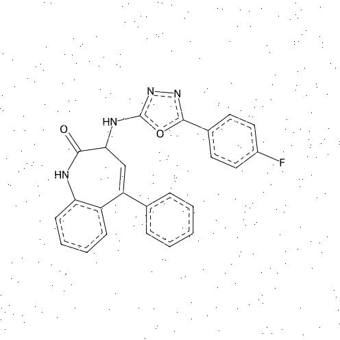 O=C1Nc2ccccc2C(c2ccccc2)=CC1Nc1nnc(-c2ccc(F)cc2)o1